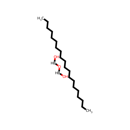 CCCCCCCCCCCCCCCCCCCC.OBOBO